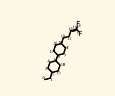 CCC1CCC(C2CCC(CCC=C(F)F)CC2)CC1